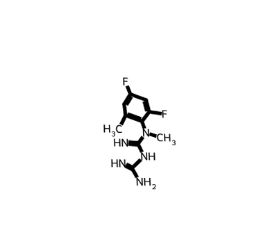 Cc1cc(F)cc(F)c1N(C)C(=N)NC(=N)N